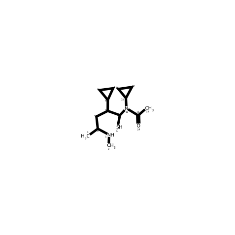 CNC(C)CC(C1CC1)C(S)N(C(C)=O)C1CC1